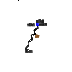 CCCCCCCCCCCCCCCCCC[N+](CCCCCCCC)(CCCCCCCC)CCCCCCCC.[Br-]